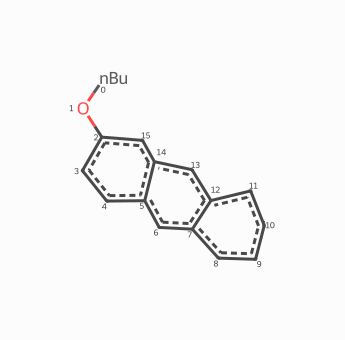 CCCCOc1ccc2cc3cc[c]cc3cc2c1